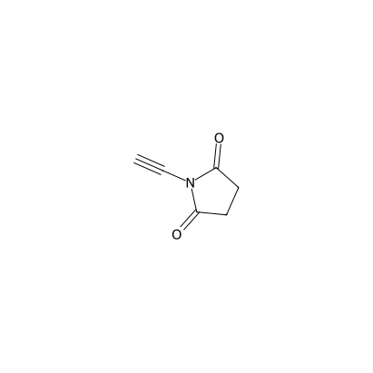 C#CN1C(=O)CCC1=O